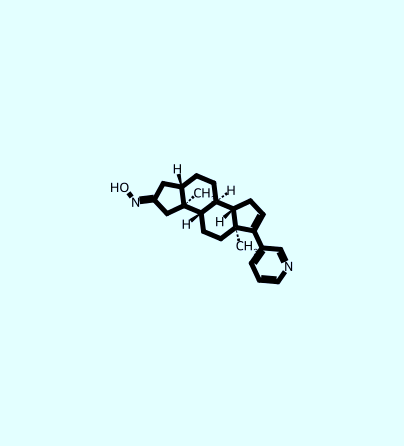 C[C@]12CC(=NO)C[C@@H]1CC[C@@H]1[C@@H]2CC[C@]2(C)C(c3cccnc3)=CC[C@@H]12